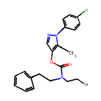 N#CCCN(CCc1ccccc1)C(=O)Oc1cnn(-c2ccc(Cl)cc2)c1C(F)(F)F